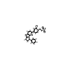 CS(=O)(=O)CCn1ccc(-c2ccc3nc4n(c3n2)[C@@H](c2ccccc2)CC4)cc1=O